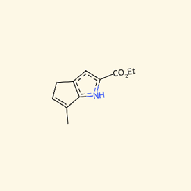 CCOC(=O)c1cc2c([nH]1)C(C)=CC2